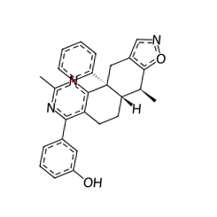 Cc1nc(-c2cccc(O)c2)c2c(n1)[C@@]1(c3ccccc3)Cc3cnoc3[C@@H](C)[C@@H]1CC2